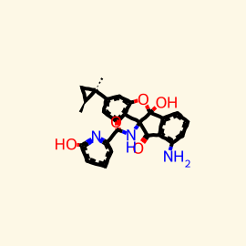 C[C@H]1C[C@@]1(C)c1ccc2c(c1)OC1(O)c3cccc(N)c3C(=O)C21NC(=O)c1cccc(O)n1